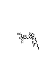 CCCC[C@@H](CC=C[C@H]1CC[C@H]2O[C@@H](CCCC(O)(O)C(=O)CO)C[C@H]12)C(F)F